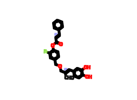 O=C/C(=C\c1ccc(O)c(O)c1)COCc1ccc(OC(=O)/C=C/c2ccccc2)c(F)c1